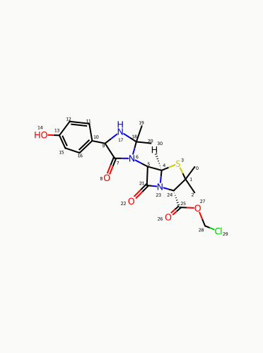 CC1(C)S[C@@H]2C(N3C(=O)C(c4ccc(O)cc4)NC3(C)C)C(=O)N2[C@H]1C(=O)OCCl